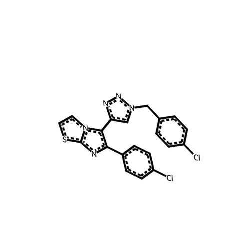 Clc1ccc(Cn2cc(-c3c(-c4ccc(Cl)cc4)nc4sccn34)nn2)cc1